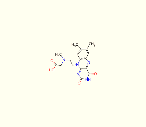 Cc1cc2nc3c(=O)[nH]c(=O)nc-3n(CCN(C)CC(=O)O)c2cc1C